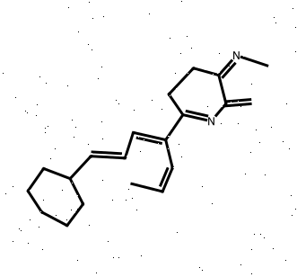 C=C1N=C(C(/C=C\C)=C/C=C/C2CCCCC2)CC/C1=N/C